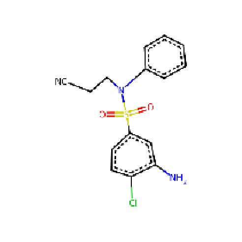 N#CCCN(c1ccccc1)S(=O)(=O)c1ccc(Cl)c(N)c1